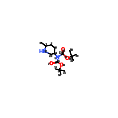 CC1CCC(N(C(=O)OC(C)(C)C)C(=O)OC(C)(C)C)CN1